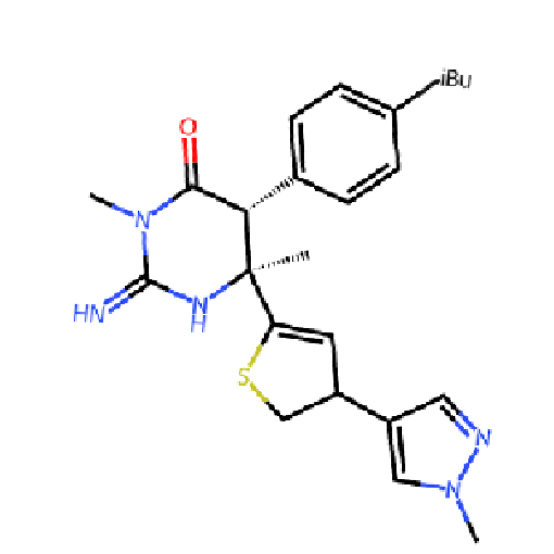 CCC(C)c1ccc([C@H]2C(=O)N(C)C(=N)N[C@]2(C)C2=CC(c3cnn(C)c3)CS2)cc1